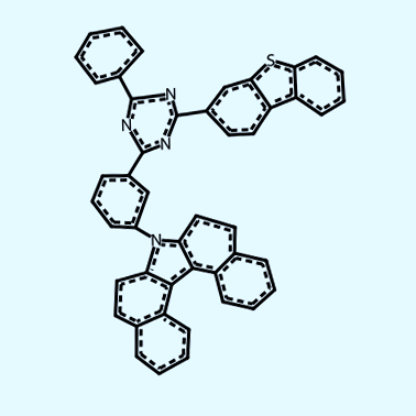 c1ccc(-c2nc(-c3cccc(-n4c5ccc6ccccc6c5c5c6ccccc6ccc54)c3)nc(-c3ccc4c(c3)sc3ccccc34)n2)cc1